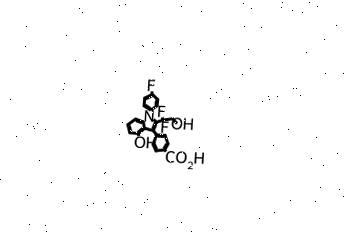 O=C(O)c1ccc(-c2c(C(F)(F)CO)n(-c3ccc(F)cc3)c3cccc(O)c23)cc1